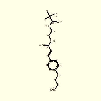 CCCCCCCCCCCCOc1ccc(/C=C/C(=O)OCCOC(=O)C(C)(C)CC)cc1